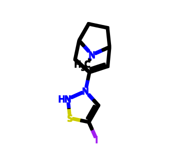 CN1C2C=C(N3C=C(I)SN3)CC1CC2